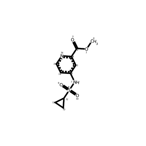 COC(=O)c1cc(NS(=O)(=O)C2CC2)ccn1